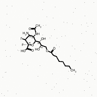 CCCCCCCC(=O)OC[C@@H](O)[C@@H](O)C1O[C@@](F)(C(=O)O)C(F)[C@@H](N)[C@H]1NC(C)=O